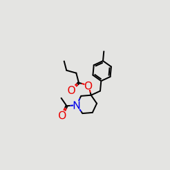 CCCC(=O)OC1(Cc2ccc(C)cc2)CCCN(C(C)=O)C1